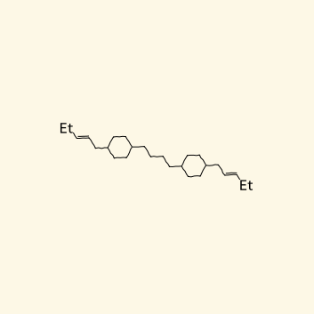 CCC=CCC1CCC(CCCCC2CCC(CC=CCC)CC2)CC1